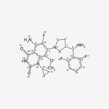 COc1c(N2CCC(C(N)c3c(F)cccc3F)C2)c(F)c(N)c2c(=O)[nH]c(=O)n(C3CC3)c12